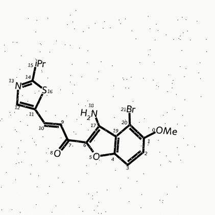 COc1ccc2oc(C(=O)C=Cc3cnc(C(C)C)s3)c(N)c2c1Br